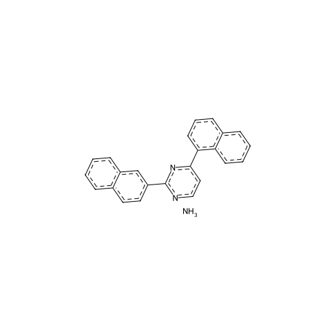 N.c1ccc2cc(-c3nccc(-c4cccc5ccccc45)n3)ccc2c1